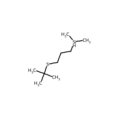 C[SiH](C)CCCSC(C)(C)C